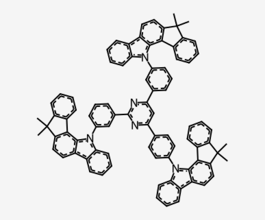 CC1(C)c2ccccc2-c2c1ccc1c3ccccc3n(-c3ccc(-c4cc(-c5cccc(-n6c7ccccc7c7ccc8c(c76)-c6ccccc6C8(C)C)c5)nc(-c5cccc(-n6c7ccccc7c7ccc8c(c76)-c6ccccc6C8(C)C)c5)n4)cc3)c21